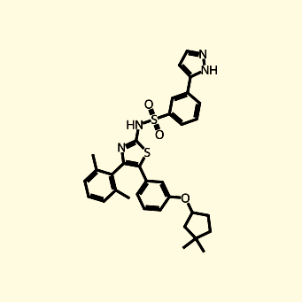 Cc1cccc(C)c1-c1nc(NS(=O)(=O)c2cccc(-c3ccn[nH]3)c2)sc1-c1cccc(OC2CCC(C)(C)C2)c1